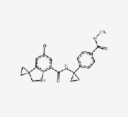 COC(=O)c1ccc(C2(NC(=O)c3cc(Cl)cc4c3NCC43CC3)CC2)cc1